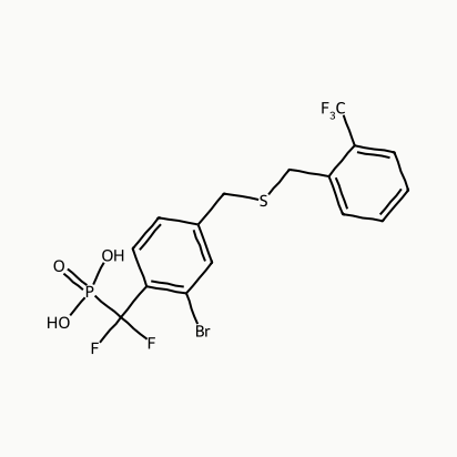 O=P(O)(O)C(F)(F)c1ccc(CSCc2ccccc2C(F)(F)F)cc1Br